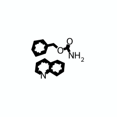 NC(=O)OCc1ccccc1.c1ccc2ncccc2c1